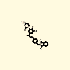 CC(/C=C/c1ccc(CN2C(=O)c3ccccc3C2=O)cc1)c1cc(Cl)c(F)c(-n2ccc(N)nc2=O)c1